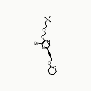 C[Si](C)(C)CCOCOc1ncc(C#CCOC2CCCCO2)nc1Br